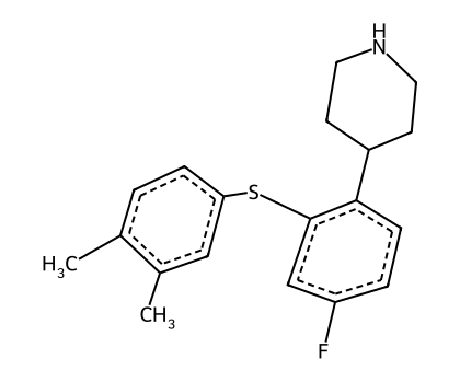 Cc1ccc(Sc2cc(F)ccc2C2CCNCC2)cc1C